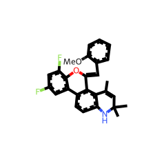 COc1ccccc1/C=C1\Oc2c(F)cc(F)cc2-c2ccc3c(c21)C(C)=CC(C)(C)N3